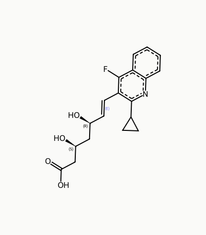 O=C(O)C[C@@H](O)C[C@@H](O)/C=C/c1c(C2CC2)nc2ccccc2c1F